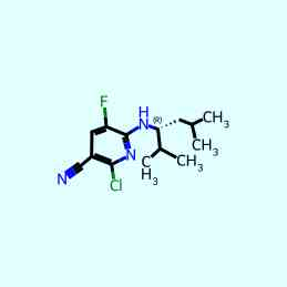 CC(C)C[C@@H](Nc1nc(Cl)c(C#N)cc1F)C(C)C